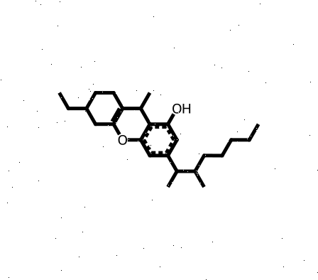 CCCCCC(C)C(C)c1cc(O)c2c(c1)OC1=C(CCC(CC)C1)C2C